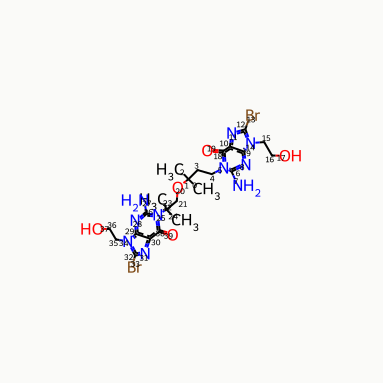 CC(C)(CCn1c(N)nc2c(nc(Br)n2CCO)c1=O)OCC(C)(C)n1c(N)nc2c(nc(Br)n2CCO)c1=O